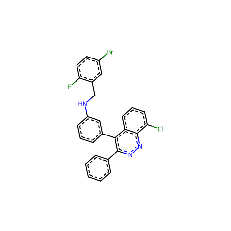 Fc1ccc(Br)cc1CNc1cccc(-c2c(-c3ccccc3)nnc3c(Cl)cccc23)c1